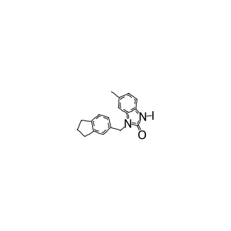 Cc1ccc2c(c1)n(Cc1ccc3c(c1)CCC3)c(=O)n2I